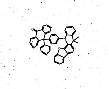 CC1(C)c2ccccc2N(c2ccc(C3(c4ccccc4)c4ccccc4C(=O)c4ccccc43)cc2)c2c1ccc1c2oc2ccccc21